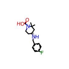 CC1(C)C[C@@H](NCc2ccc(F)cc2)CCN1C(=O)O